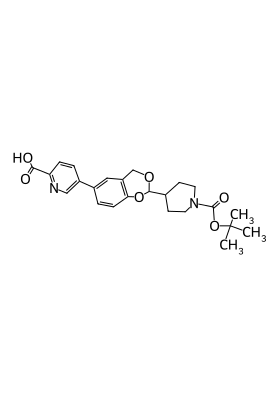 CC(C)(C)OC(=O)N1CCC(C2OCc3cc(-c4ccc(C(=O)O)nc4)ccc3O2)CC1